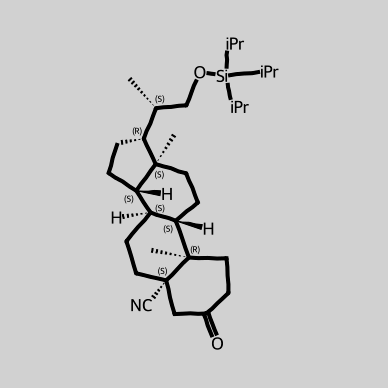 CC(C)[Si](OC[C@@H](C)[C@H]1CC[C@H]2[C@@H]3CC[C@]4(C#N)CC(=O)CC[C@]4(C)[C@H]3CC[C@]12C)(C(C)C)C(C)C